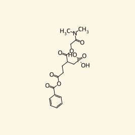 CN(C)C(=O)COC(=O)C(CCC(=O)OC(=O)c1ccccc1)CP(=O)(O)O